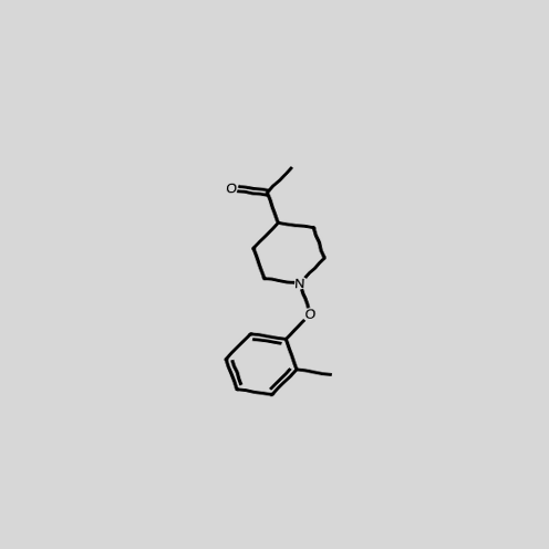 CC(=O)C1CCN(Oc2ccccc2C)CC1